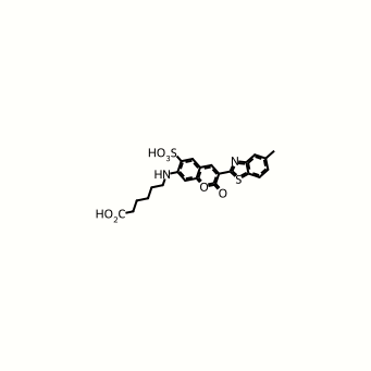 Cc1ccc2sc(-c3cc4cc(S(=O)(=O)O)c(NCCCCCC(=O)O)cc4oc3=O)nc2c1